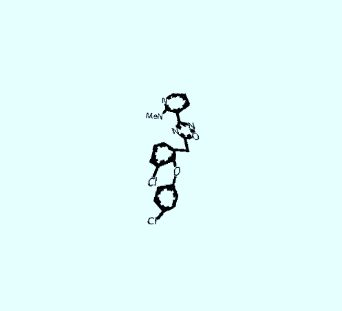 CNc1ncccc1-c1noc(Cc2cccc(Cl)c2Oc2ccc(Cl)cc2)n1